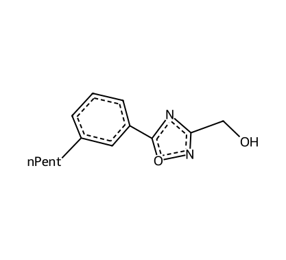 CCCCCc1cccc(-c2nc(CO)no2)c1